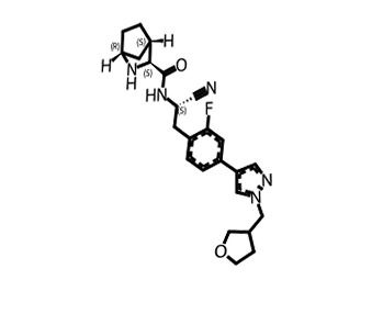 N#C[C@H](Cc1ccc(-c2cnn(CC3CCOC3)c2)cc1F)NC(=O)[C@H]1N[C@@H]2CC[C@H]1C2